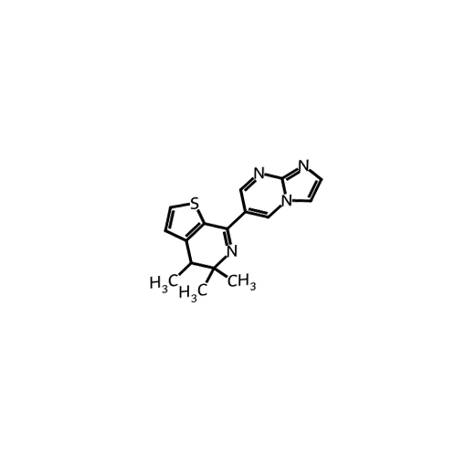 CC1c2ccsc2C(c2cnc3nccn3c2)=NC1(C)C